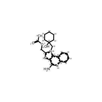 CC(=O)OCc1nc2c(N)nc3ccccc3c2n1CC1(O)CCCCC1